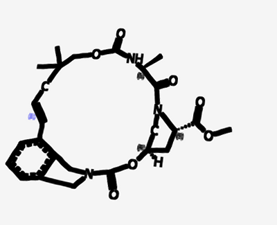 COC(=O)[C@@H]1C[C@@H]2CN1C(=O)[C@H](C)NC(=O)OCC(C)(C)C/C=C/c1cccc3c1CN(C3)C(=O)O2